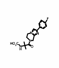 CC(C)(NC(=O)O)C(=O)N1CCn2cc(-c3ccc(F)cc3)nc2C1